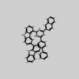 c1ccc(-c2ccc(C3=NC(c4ccc5ccccc5c4)=NC(c4cccc5oc6ccc(-c7cccc8c7sc7ccccc78)cc6c45)N3)cc2)cc1